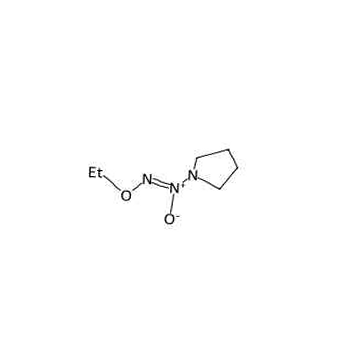 CCO/N=[N+](\[O-])N1CCCC1